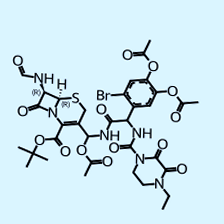 CCN1CCN(C(=O)NC(C(=O)NC(OC(C)=O)C2=C(C(=O)OC(C)(C)C)N3C(=O)[C@@H](NC=O)[C@H]3SC2)c2cc(OC(C)=O)c(OC(C)=O)cc2Br)C(=O)C1=O